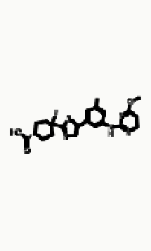 COc1ccnc(Nc2cc(C)cc(-c3cnc([C@]4(F)CC[C@H](C(=O)O)CC4)s3)c2)n1